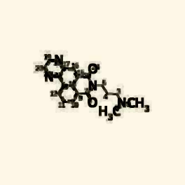 CN(C)CCCN1C(=O)c2cccc3c2c(cc2nccnc23)C1=O